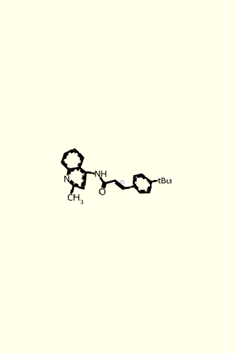 Cc1cc(NC(=O)/C=C/c2ccc(C(C)(C)C)cc2)c2ccccc2n1